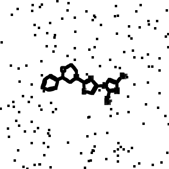 Brc1cn(-c2csc(N3CCOC(c4ccccc4)C3)n2)c(Br)n1